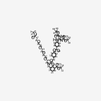 CC(C)(C)OC(=O)CCOCCOCCOCCOCCN(Cc1cccc(C(=O)OC(C)(C)C)c1)C(=O)OCc1ccc(OC(=O)c2ccc(NC(=NC(=O)OC(C)(C)C)NC(=O)OC(C)(C)C)cc2)cc1